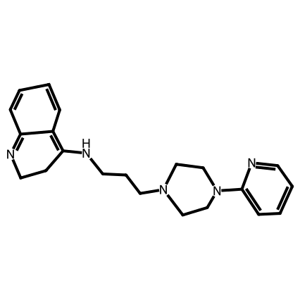 c1ccc(N2CCN(CCCNC3=c4ccccc4=NCC3)CC2)nc1